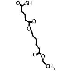 CCOC(=O)CCCCCOC(=O)CCCC(=O)S